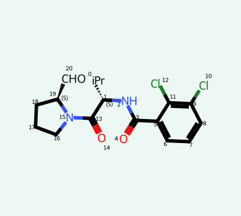 CC(C)[C@H](NC(=O)c1cccc(Cl)c1Cl)C(=O)N1CCC[C@H]1C=O